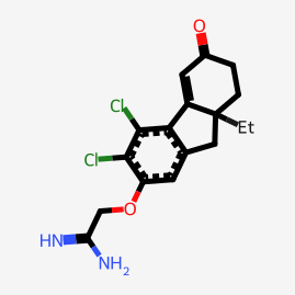 CCC12CCC(=O)C=C1c1c(cc(OCC(=N)N)c(Cl)c1Cl)C2